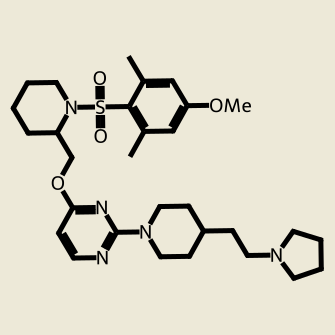 COc1cc(C)c(S(=O)(=O)N2CCCCC2COc2ccnc(N3CCC(CCN4CCCC4)CC3)n2)c(C)c1